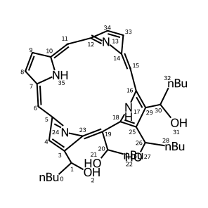 CCCCC(O)C1=Cc2cc3ccc(cc4nc(cc5[nH]c(c(C(O)CCCC)c1n2)c(C(O)CCCC)c5C(O)CCCC)C=C4)[nH]3